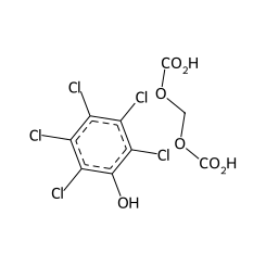 O=C(O)OCOC(=O)O.Oc1c(Cl)c(Cl)c(Cl)c(Cl)c1Cl